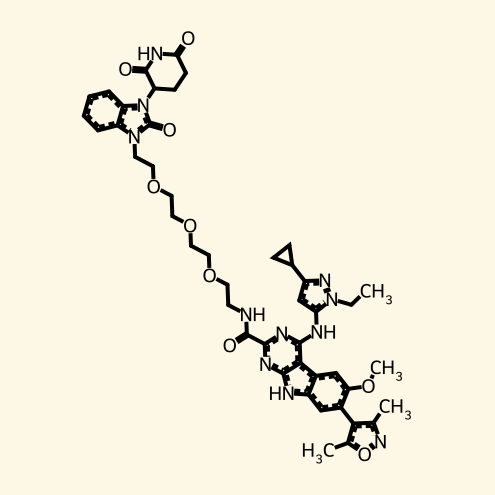 CCn1nc(C2CC2)cc1Nc1nc(C(=O)NCCOCCOCCOCCn2c(=O)n(C3CCC(=O)NC3=O)c3ccccc32)nc2[nH]c3cc(-c4c(C)noc4C)c(OC)cc3c12